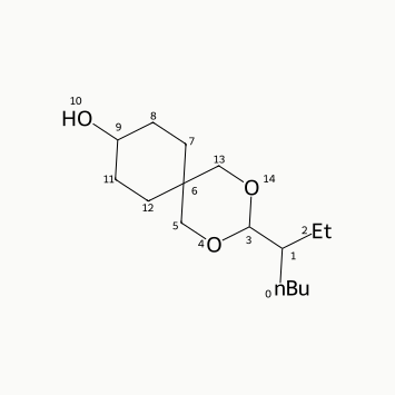 CCCCC(CC)C1OCC2(CCC(O)CC2)CO1